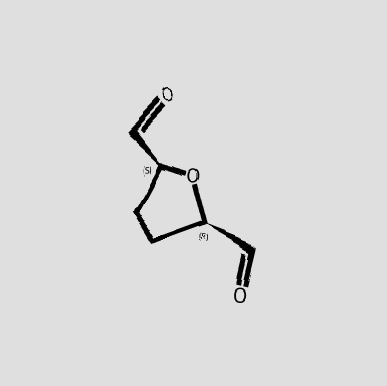 O=C[C@@H]1CC[C@H](C=O)O1